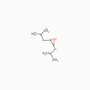 CC(C)CC1OC1CC(C)C